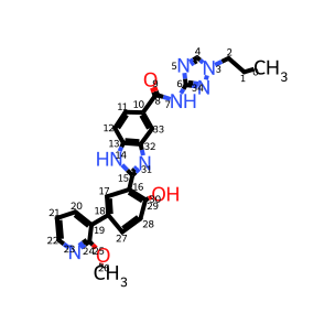 CCCn1cnc(NC(=O)c2ccc3[nH]c(-c4cc(-c5cccnc5OC)ccc4O)nc3c2)n1